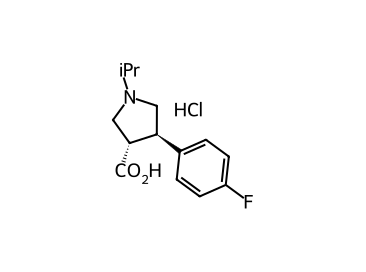 CC(C)N1C[C@@H](C(=O)O)[C@H](c2ccc(F)cc2)C1.Cl